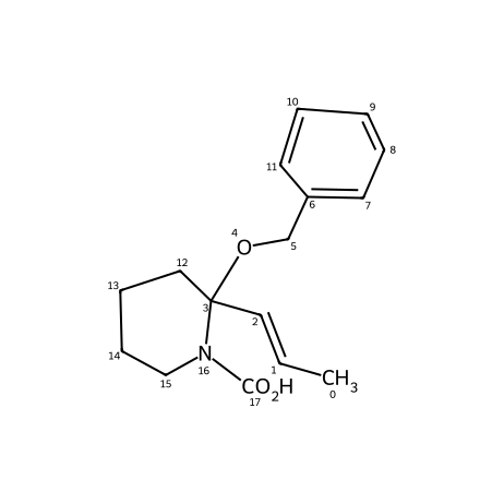 CC=CC1(OCc2ccccc2)CCCCN1C(=O)O